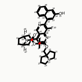 CC(C)(C)OC(=O)N1[C@@H]2CC[C@H]1CN(c1nc(OCC34CCCN3CCC4)nc3c(F)c(-c4cc(O)cc5ccccc45)ncc13)C2